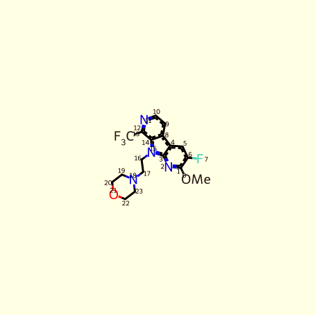 COc1nc2c(cc1F)c1ccnc(C(F)(F)F)c1n2CCN1CCOCC1